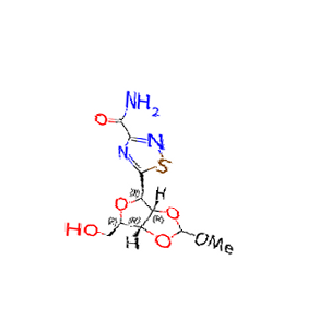 COC1O[C@@H]2[C@H](O1)[C@@H](CO)O[C@H]2c1nc(C(N)=O)ns1